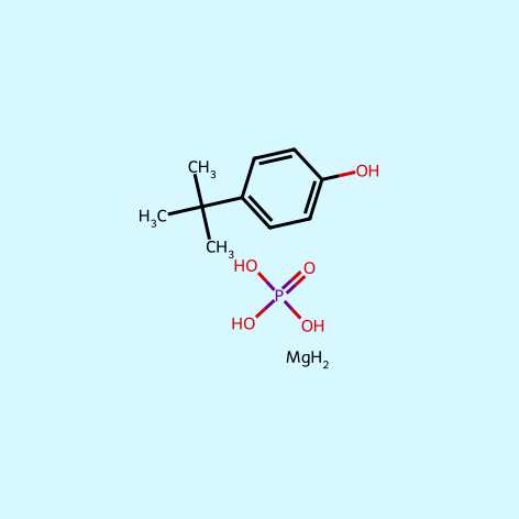 CC(C)(C)c1ccc(O)cc1.O=P(O)(O)O.[MgH2]